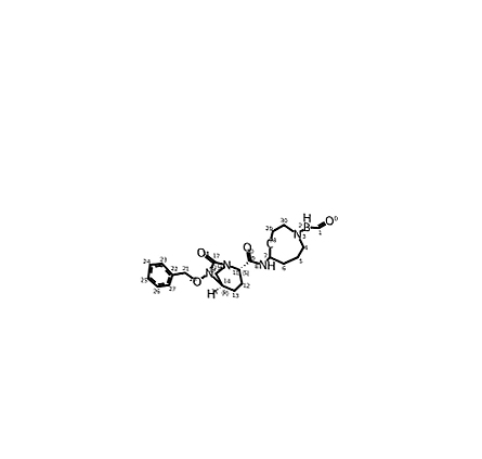 O=CBN1CCCC(NC(=O)[C@@H]2CC[C@@H]3CN2C(=O)N3OCc2ccccc2)CCC1